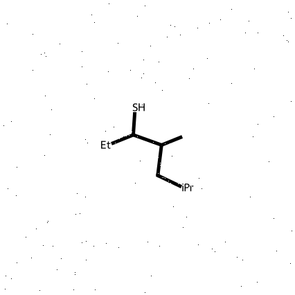 [CH2]CC(S)C(C)CC(C)C